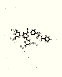 N[C@@H]1C[C@H](N)CN(c2nc(Nc3ccc(NC(=O)CC(=O)c4ccccc4)cc3)nc(N3C[C@H](N)C[C@H](N)C3)n2)C1